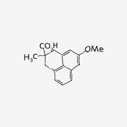 COc1cc2c3c(cccc3c1)CC(C)(C(=O)O)C2